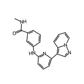 CNC(=O)c1cccc(Nc2cccc(-c3cnn4ccccc34)n2)c1